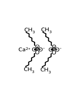 CCCCCCCCOP(=O)([O-])OCCCCCCCC.CCCCCCCCOP(=O)([O-])OCCCCCCCC.[Ca+2]